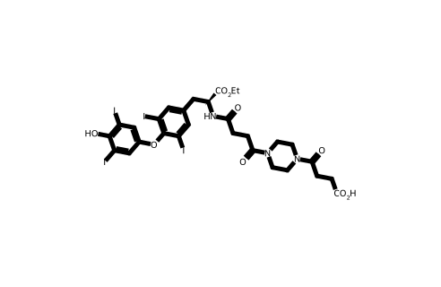 CCOC(=O)[C@H](Cc1cc(I)c(Oc2cc(I)c(O)c(I)c2)c(I)c1)NC(=O)CCC(=O)N1CCN(C(=O)CCC(=O)O)CC1